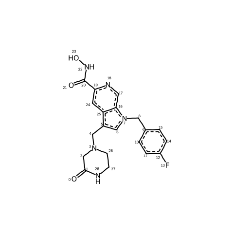 O=C1CN(Cc2cn(Cc3ccc(F)cc3)c3cnc(C(=O)NO)cc23)CCN1